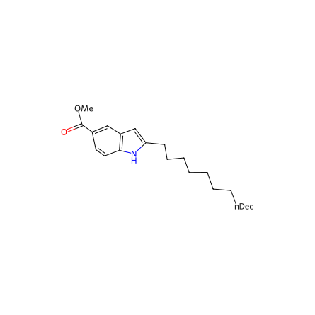 CCCCCCCCCCCCCCCCCc1cc2cc(C(=O)OC)ccc2[nH]1